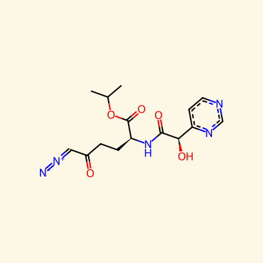 CC(C)OC(=O)[C@H](CCC(=O)C=[N+]=[N-])NC(=O)[C@H](O)c1ccncn1